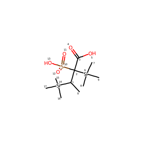 CC(C(C(=O)O)([Si](C)(C)C)S(=O)(=O)O)[Si](C)(C)C